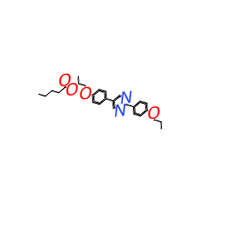 CCCCC(=O)OC(C)COc1ccc(-c2cnc(-c3ccc(OCCC)cc3)nc2)cc1